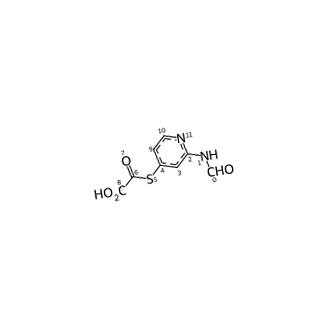 O=CNc1cc(SC(=O)C(=O)O)ccn1